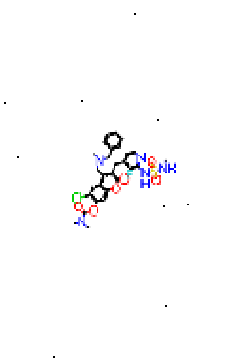 CNS(=O)(=O)Nc1nccc(Cc2c(CN(C)Cc3ccccc3)c3cc(Cl)c(OC(=O)N(C)C)cc3oc2=O)c1F